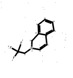 FC(F)(F)CN1C=Cc2ccccc2C1